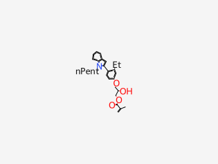 C=C(C)C(=O)OCC(O)COc1ccc(-c2cc3ccccc3n2CCCCC)c(CC)c1